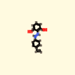 O=[N+]([O-])c1ccc(/N=N/c2c(O)cccc2O)cc1